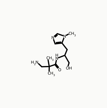 Cn1cncc1CC(CO)NC(=O)C(C)(C)CN